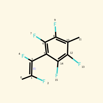 C/C(F)=C(\F)c1c(F)c(F)c(C)c(F)c1F